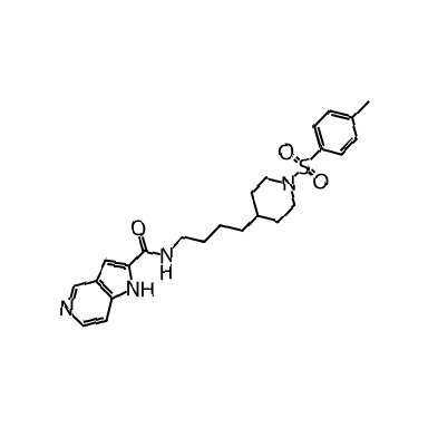 Cc1ccc(S(=O)(=O)N2CCC(CCCCNC(=O)c3cc4cnccc4[nH]3)CC2)cc1